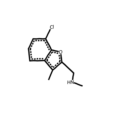 CNCc1oc2c(Cl)cccc2c1C